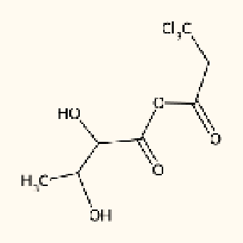 CC(O)C(O)C(=O)OC(=O)CC(Cl)(Cl)Cl